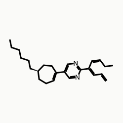 C=C/C=C(\C=C/CC)c1ncc(C2=CCC[C@@H](CCCCCC)CC2)cn1